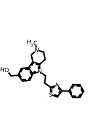 CN1CCc2c(c3cc(CO)ccc3n2CCc2nc(-c3ccccc3)cs2)C1